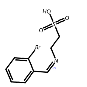 O=S(=O)(O)CC/N=C\c1ccccc1Br